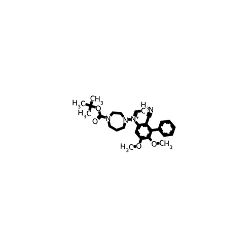 CC=[N+](c1cc(OC)c(OC)c(-c2ccccc2)c1C#N)N1CCCN(C(=O)OC(C)(C)C)CC1